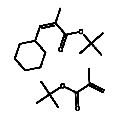 C=C(C)C(=O)OC(C)(C)C.CC(=CC1CCCCC1)C(=O)OC(C)(C)C